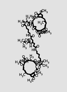 COc1cc2cc(c1Cl)N(C)C(=O)C[C@H](OC(=O)[C@H](C)N(C)C(=O)CCCCCNC(=O)CCC(CCC(=O)NCCCCCC(=O)N(C)[C@@H](C)C(=O)O[C@H]1CC(=O)N(C)c3cc(cc(OC)c3Cl)C/C(C)=C/C=C/[C@@H](OC)[C@@]3(O)CC(OC(=O)N3)[C@@H](C)C3O[C@]31C)NC(=O)OC(C)(C)C)[C@@]1(C)CC(C)(O1)C1C[C@@](O)(NC(=O)O1)[C@H](OC)/C=C/C=C(\C)C2